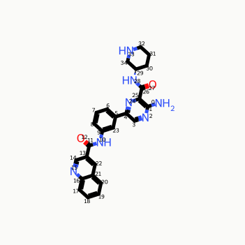 Nc1ncc(-c2cccc(NC(=O)c3cnc4ccccc4c3)c2)nc1C(=O)N[C@H]1CCCNC1